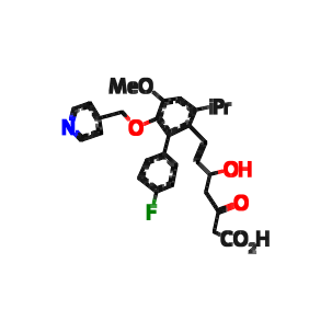 COc1cc(C(C)C)c(C=CC(O)CC(=O)CC(=O)O)c(-c2ccc(F)cc2)c1OCc1ccncc1